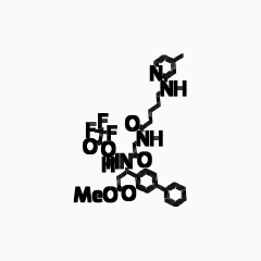 COC(=O)CC(NC(=O)CNC(=O)CCCCNc1cc(C)ccn1)c1ccc(-c2ccccc2)cc1.O=C(O)C(F)(F)F